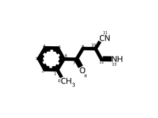 Cc1ccccc1C(=O)CC(C#N)C=N